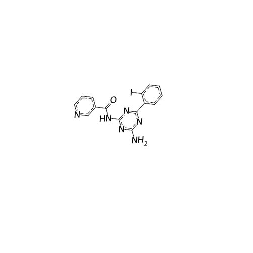 Nc1nc(NC(=O)c2cccnc2)nc(-c2ccccc2I)n1